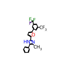 Cc1nc(-c2ccc(-c3cc(C(F)(F)F)cc(C(F)(F)I)c3)o2)[nH]c1-c1ccccc1